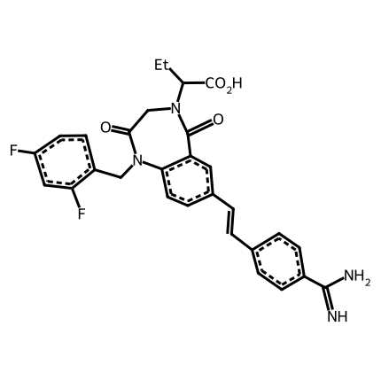 CCC(C(=O)O)N1CC(=O)N(Cc2ccc(F)cc2F)c2ccc(C=Cc3ccc(C(=N)N)cc3)cc2C1=O